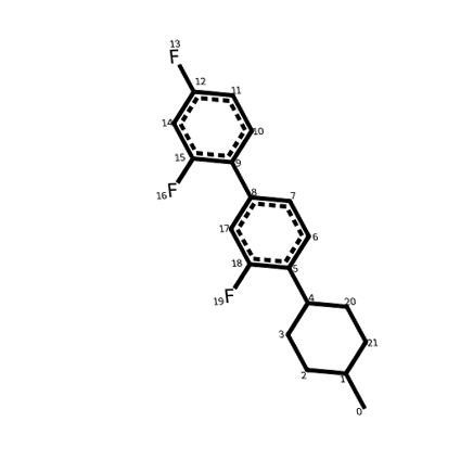 CC1CCC(c2ccc(-c3ccc(F)cc3F)cc2F)CC1